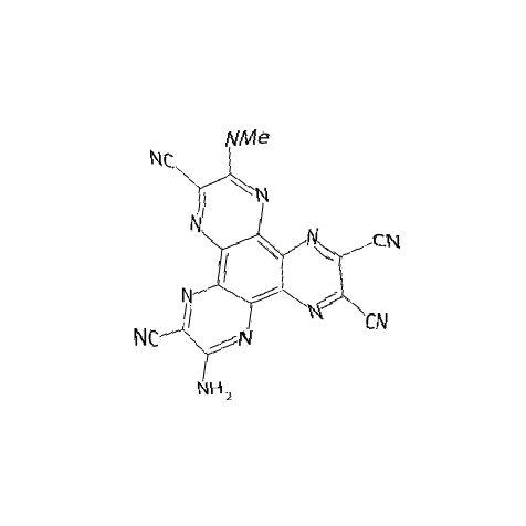 CNc1nc2c3nc(C#N)c(C#N)nc3c3nc(N)c(C#N)nc3c2nc1C#N